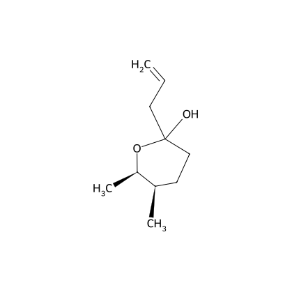 C=CCC1(O)CC[C@@H](C)[C@@H](C)O1